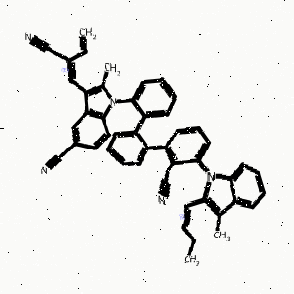 C=C/C(C#N)=C\c1c(C)n(-c2ccccc2-c2ccccc2-c2cccc(-n3c(/C=C\CC)c(C)c4ccccc43)c2C#N)c2ccc(C#N)cc12